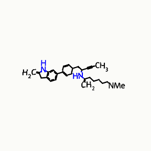 C=C1Cc2ccc(C3=CCC(CC(C#CC)NC(=C)CCCCCNC)C=C3)cc2N1